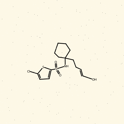 O=S(=O)(NC1(CCC=CO)CCCCC1)c1ccc(Cl)s1